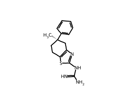 C[C@@]1(c2ccccc2)CCc2sc(NC(=N)N)nc2C1